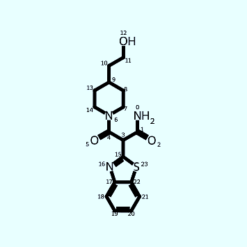 NC(=O)C(C(=O)N1CCC(CCO)CC1)c1nc2ccccc2s1